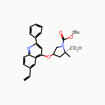 C=Cc1ccc2nc(-c3ccccc3)cc(O[C@H]3CN(C(=O)OC(C)(C)C)[C@](C)(C(=O)O)C3)c2c1